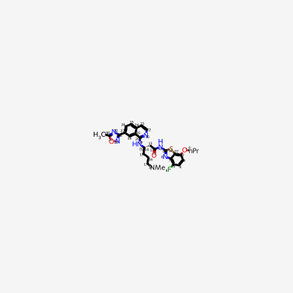 CCCOc1ccc(F)c2nc(NC(=O)C[C@H](CCCNC)Nc3nccc4ccc(-c5noc(C)n5)cc34)sc12